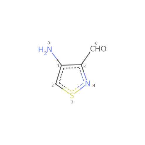 Nc1csnc1C=O